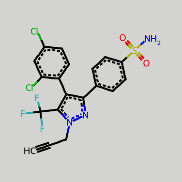 C#CCn1nc(-c2ccc(S(N)(=O)=O)cc2)c(-c2ccc(Cl)cc2Cl)c1C(F)(F)F